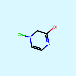 OC1=NC=CN(Cl)C1